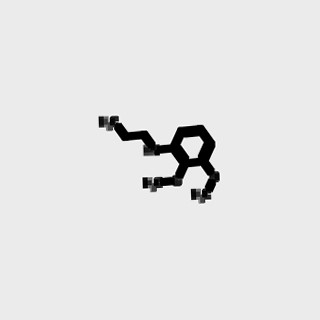 CCCNc1cccc(OC)c1OC